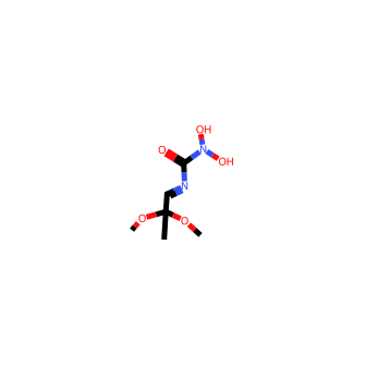 COC(C)(C=NC(=O)N(O)O)OC